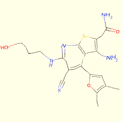 Cc1cc(-c2c(C#N)c(NCCCO)nc3sc(C(N)=O)c(N)c23)oc1C